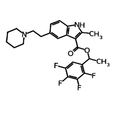 Cc1[nH]c2ccc(CCN3CCCCC3)cc2c1C(=O)OC(C)c1cc(F)c(F)c(F)c1F